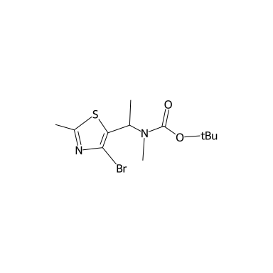 Cc1nc(Br)c(C(C)N(C)C(=O)OC(C)(C)C)s1